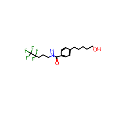 O=C(NCCCC(F)(F)C(F)(F)F)c1ccc(CCCCCO)cc1